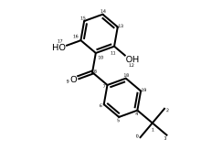 CC(C)(C)c1ccc(C(=O)c2c(O)cccc2O)cc1